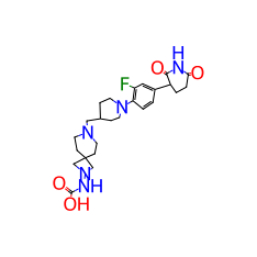 O=C(O)NN1CC2(CCN(CC3CCN(c4ccc(C5CCC(=O)NC5=O)cc4F)CC3)CC2)C1